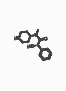 CN(C(=O)[C@H](O)c1ccccc1)C1CCNCC1